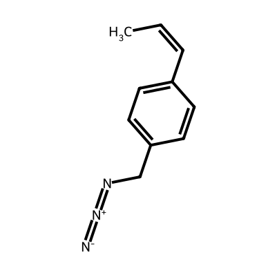 C/C=C\c1ccc(CN=[N+]=[N-])cc1